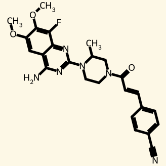 COc1cc2c(N)nc(N3CCN(C(=O)C=Cc4ccc(C#N)cc4)CC3C)nc2c(F)c1OC